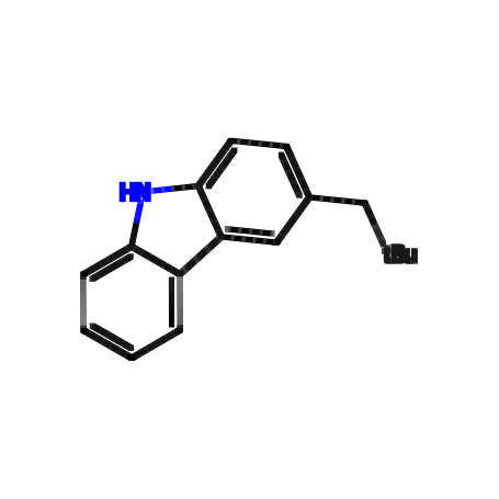 CC(C)(C)Cc1ccc2[nH]c3ccccc3c2c1